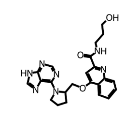 O=C(NCCCO)c1cc(OCC2CCCN2c2ncnc3[nH]cnc23)c2ccccc2n1